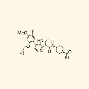 CCC(=O)N1CCC(NC(=O)c2c(C)[nH]c3c(-c4cc(F)c(OC)cc4OCC4CC4)ccnc23)CC1